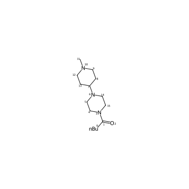 CCCCC(=O)N1CCN(C2CCN(C)CC2)CC1